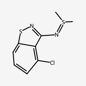 CS(C)=Nc1nsc2cccc(Cl)c12